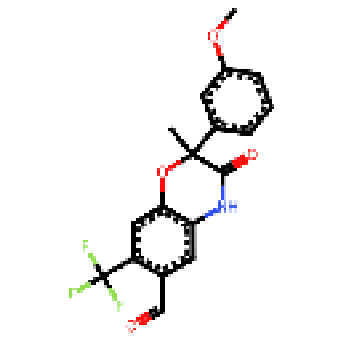 COc1cccc(C2(C)Oc3cc(C(F)(F)F)c(C=O)cc3NC2=O)c1